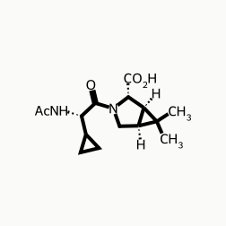 CC(=O)N[C@H](C(=O)N1C[C@H]2[C@@H]([C@H]1C(=O)O)C2(C)C)C1CC1